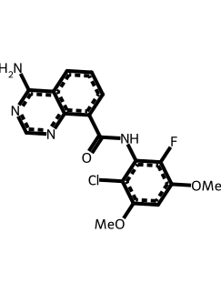 COc1cc(OC)c(Cl)c(NC(=O)c2cccc3c(N)ncnc23)c1F